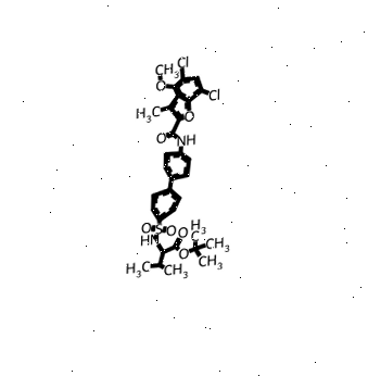 COc1c(Cl)cc(Cl)c2oc(C(=O)Nc3ccc(-c4ccc(S(=O)(=O)NC(C(=O)OC(C)(C)C)C(C)C)cc4)cc3)c(C)c12